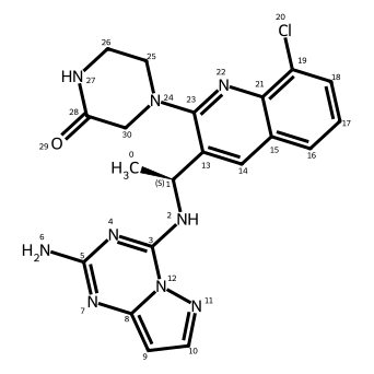 C[C@H](Nc1nc(N)nc2ccnn12)c1cc2cccc(Cl)c2nc1N1CCNC(=O)C1